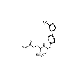 CCOC(=O)C[C@@H](Cc1ccc(-c2cccc(C(F)(F)F)c2)cc1)NC(=O)CCC(=O)OC